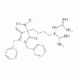 CCN(CC)C(CCCCN(NC(=N)N)C(=N)N)(C(=O)OCc1ccccc1)C(=O)OCc1ccccc1